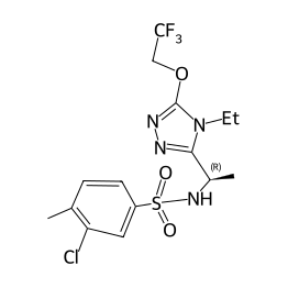 CCn1c(OCC(F)(F)F)nnc1[C@@H](C)NS(=O)(=O)c1ccc(C)c(Cl)c1